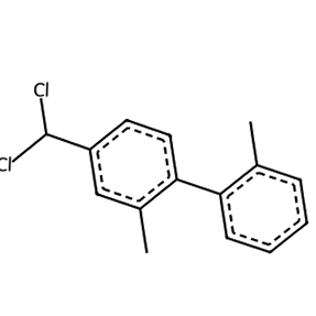 Cc1ccccc1-c1ccc(C(Cl)Cl)cc1C